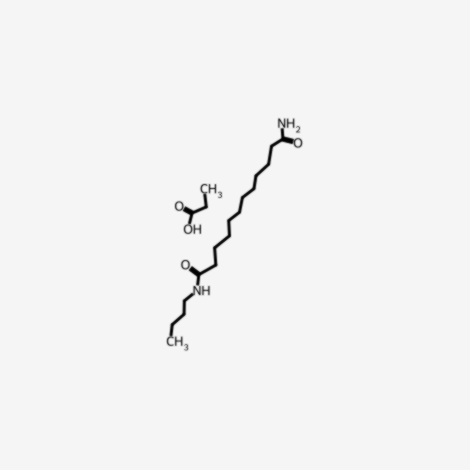 CCC(=O)O.CCCCNC(=O)CCCCCCCCCCC(N)=O